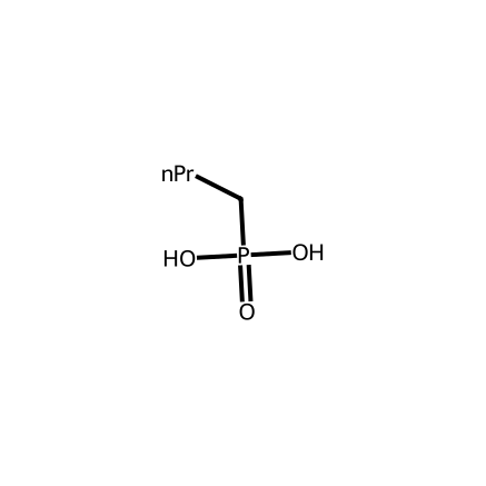 C[CH]CCP(=O)(O)O